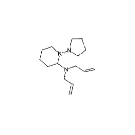 C=CCN(CC=C)C1CCCC[N+]1N1CCCC1